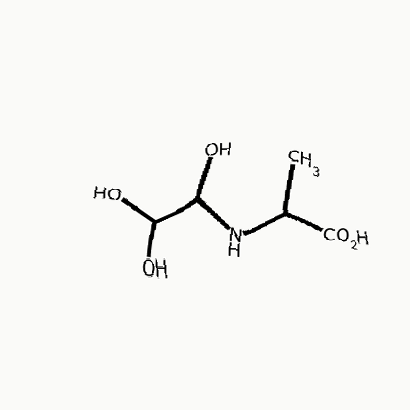 CC(NC(O)C(O)O)C(=O)O